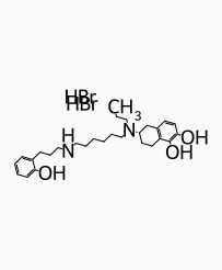 Br.Br.CCCN(CCCCCCNCCCc1ccccc1O)[C@H]1CCc2c(ccc(O)c2O)C1